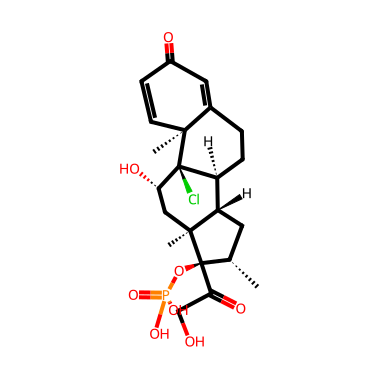 C[C@H]1C[C@H]2[C@@H]3CCC4=CC(=O)C=C[C@]4(C)[C@@]3(Cl)[C@@H](O)C[C@]2(C)[C@@]1(OP(=O)(O)O)C(=O)CO